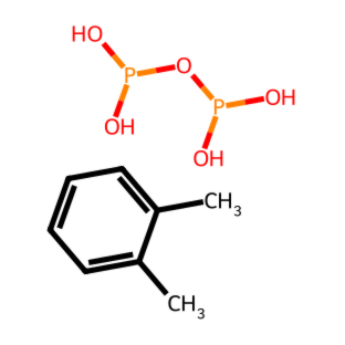 Cc1ccccc1C.OP(O)OP(O)O